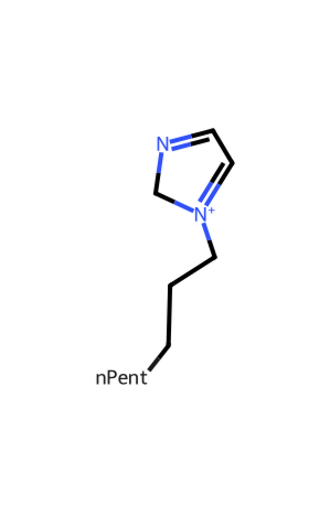 CCCCCCCC[N+]1=CC=NC1